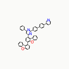 c1ccc(-c2cc(-c3ccc(-c4cccc5oc6ccccc6c45)c4oc5ccccc5c34)nc(-c3ccc(-c4ccc(-c5cccnc5)cc4)cc3)n2)cc1